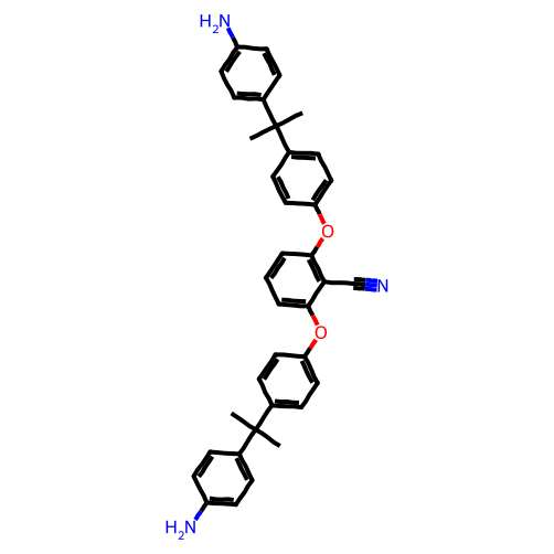 CC(C)(c1ccc(N)cc1)c1ccc(Oc2cccc(Oc3ccc(C(C)(C)c4ccc(N)cc4)cc3)c2C#N)cc1